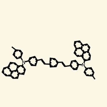 Cc1ccc(N(c2ccc(C=Cc3ccc(C=Cc4ccc(N(c5ccc(C)cc5)c5ccc6ccc7cccc8ccc5c6c78)cc4)cc3)cc2)c2ccc3ccc4cccc5ccc2c3c45)cc1